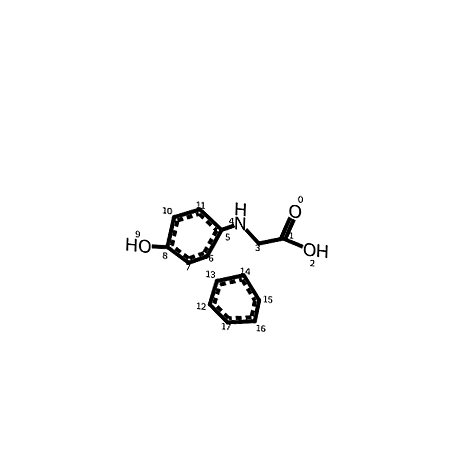 O=C(O)CNc1ccc(O)cc1.c1ccccc1